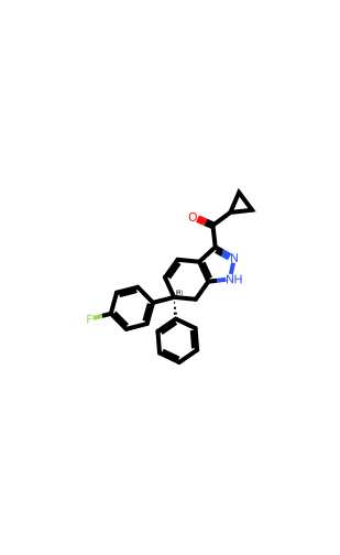 O=C(c1n[nH]c2c1C=C[C@](c1ccccc1)(c1ccc(F)cc1)C2)C1CC1